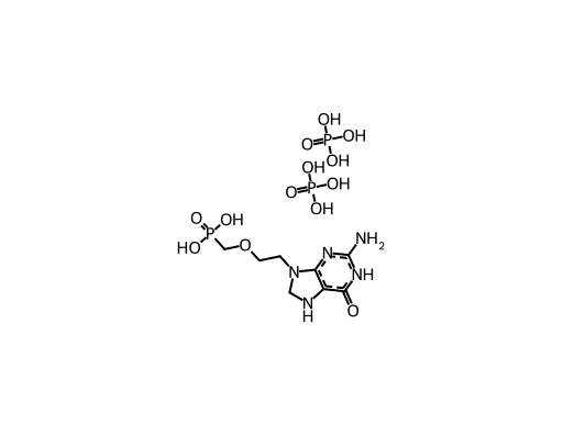 Nc1nc2c(c(=O)[nH]1)NCN2CCOCP(=O)(O)O.O=P(O)(O)O.O=P(O)(O)O